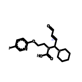 O=C/C=C/C(N1CCCCC1)N(CCOc1ccc(I)cn1)C(=O)O